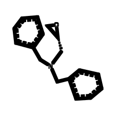 c1ccc(CN(Cc2ccccc2)C[C@@H]2CO2)cc1